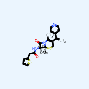 C=C(C1=C(C(=O)O)N2C(=O)[C@](NC(=O)Cc3cccs3)(OC)[C@H]2SC1)c1ccncc1